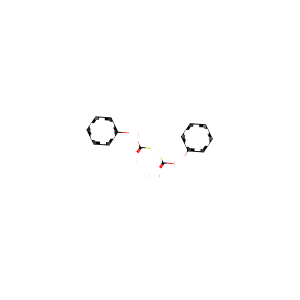 O=C(Oc1ccccc1)SC(=O)Oc1ccccc1